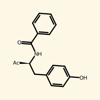 CC(=O)[C@H](Cc1ccc(O)cc1)NC(=O)c1ccccc1